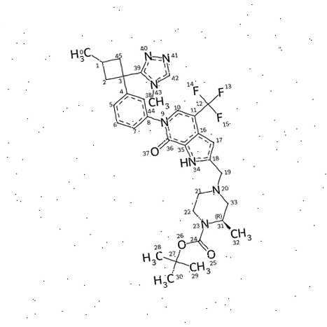 CC1CC(c2cccc(-n3cc(C(F)(F)F)c4cc(CN5CCN(C(=O)OC(C)(C)C)[C@H](C)C5)[nH]c4c3=O)c2)(c2nncn2C)C1